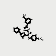 O=[N+]([O-])c1ccc(C[C@H](Nc2ncc(-c3cccc(CO)c3)o2)c2csc(-c3ccccc3)n2)cc1